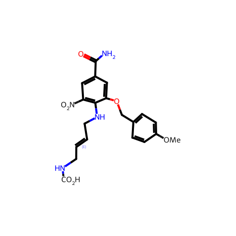 COc1ccc(COc2cc(C(N)=O)cc([N+](=O)[O-])c2NC/C=C/CNC(=O)O)cc1